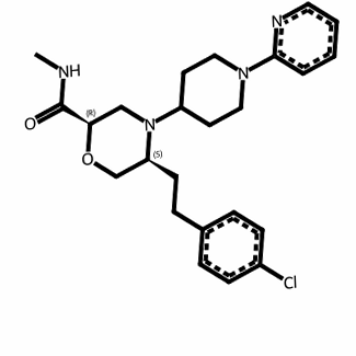 CNC(=O)[C@H]1CN(C2CCN(c3ccccn3)CC2)[C@@H](CCc2ccc(Cl)cc2)CO1